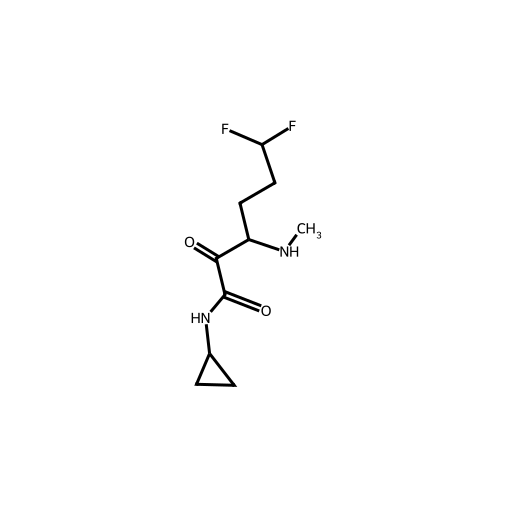 CNC(CCC(F)F)C(=O)C(=O)NC1CC1